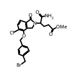 COC(=O)CCC(C(N)=O)N1Cc2c(ccc(Cl)c2OCc2ccc(CBr)cc2)C1=O